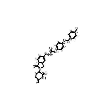 C=C1CCC(N2Cc3cc(CNC(=O)Nc4ccc(OCc5ccc(C)cc5)cc4)ccc3C2=O)C(=O)N1